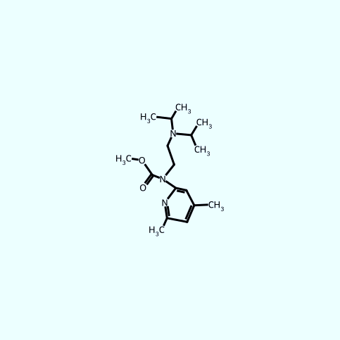 COC(=O)N(CCN(C(C)C)C(C)C)c1cc(C)cc(C)n1